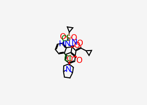 O=C(NS(=O)(=O)C1CC1)c1ccc(N2C3CCC2CC(OC(=O)c2c(-c4c(Cl)cccc4Cl)noc2C2CC2)C3)cc1